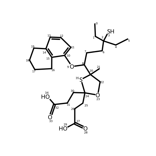 CCC(S)(CC)CCC(Oc1cccc2c1CCCC2)C1(C)COC(CCC(=O)O)(CCC(=O)O)S1